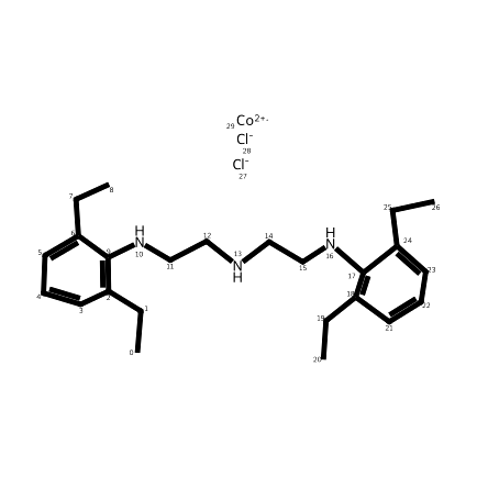 CCc1cccc(CC)c1NCCNCCNc1c(CC)cccc1CC.[Cl-].[Cl-].[Co+2]